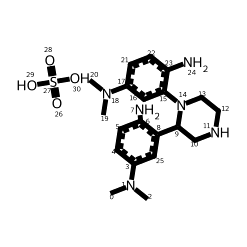 CN(C)c1ccc(N)c(C2CNCCN2c2cc(N(C)C)ccc2N)c1.O=S(=O)(O)O